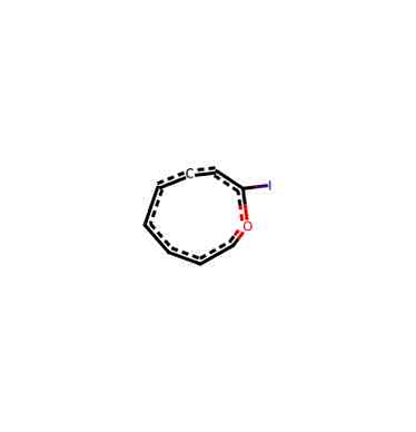 Ic1ccccccco1